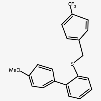 COc1ccc(-c2ccccc2SCc2ccc(C(F)(F)F)cc2)cc1